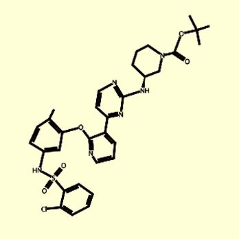 Cc1ccc(NS(=O)(=O)c2ccccc2Cl)cc1Oc1ncccc1-c1ccnc(N[C@H]2CCCN(C(=O)OC(C)(C)C)C2)n1